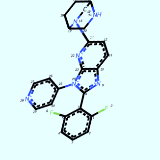 Fc1cccc(F)c1-c1nc2ccc(N3CC4CCC3CN4)nc2n1-c1ccncc1